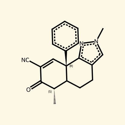 C[C@@H]1C(=O)C(C#N)=C[C@]2(c3ccccc3)c3nn(C)cc3CCC12